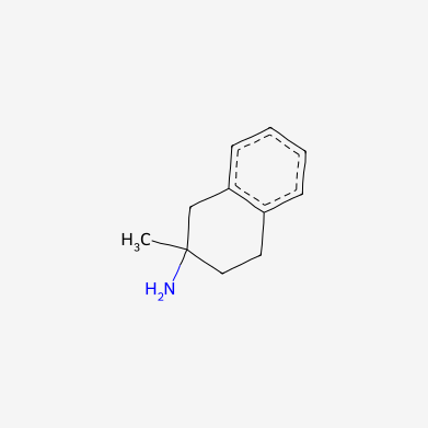 CC1(N)CCc2ccccc2C1